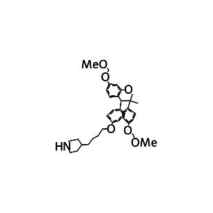 COCOc1ccc(C2(C)COc3cc(OCOC)ccc3C2c2ccc(OCCCCC3CCNCC3)cc2)cc1